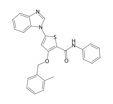 Cc1ccccc1COc1cc(-n2cnc3ccccc32)sc1C(=O)Nc1ccccc1